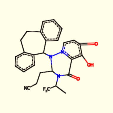 CC(N1C(=O)c2c(O)c(=O)ccn2N(C2c3ccccc3CCc3ccccc32)C1CCC#N)C(F)(F)F